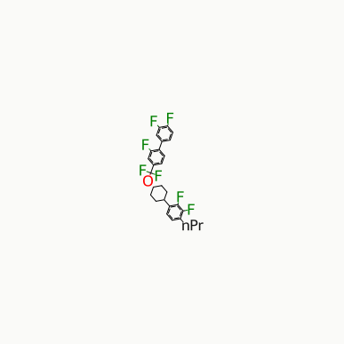 CCCc1ccc(C2CCC(OC(F)(F)c3ccc(-c4ccc(F)c(F)c4)c(F)c3)CC2)c(F)c1F